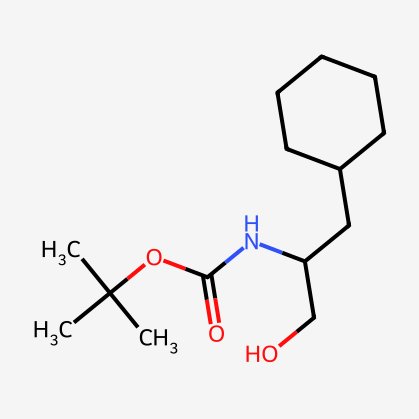 CC(C)(C)OC(=O)NC(CO)CC1CCCCC1